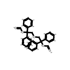 O=COC(COCC(OC=O)(c1ccccc1)c1ccccc1)(c1ccccc1)c1ccccc1